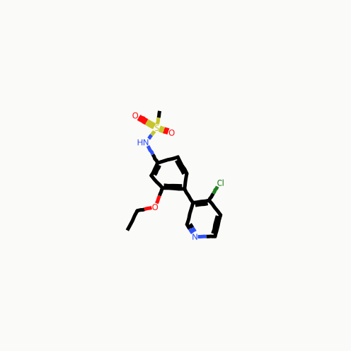 CCOc1cc(NS(C)(=O)=O)ccc1-c1cnccc1Cl